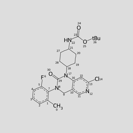 Cc1cccc(F)c1N1Cc2cnc(Cl)cc2N(C2CCC(NC(=O)OC(C)(C)C)CC2)C1=O